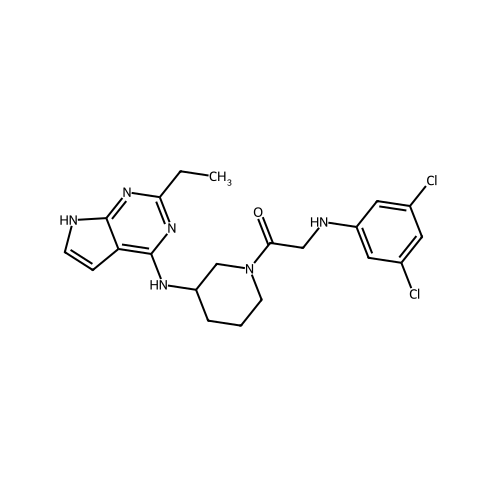 CCc1nc(NC2CCCN(C(=O)CNc3cc(Cl)cc(Cl)c3)C2)c2cc[nH]c2n1